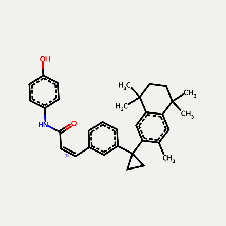 Cc1cc2c(cc1C1(c3cccc(/C=C\C(=O)Nc4ccc(O)cc4)c3)CC1)C(C)(C)CCC2(C)C